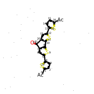 CC(=O)c1ccc(-c2cc3c(s2)-c2sc(-c4ccc(C(C)=O)s4)cc2C3=O)s1